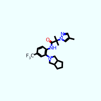 Cc1cnn(C(C)(C)C(=O)Nc2ccc(C(F)(F)F)cc2N2CC3CCCC3C2)c1